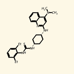 CCc1cccc(CC)c1NC(=S)N[C@H]1CC[C@@H](Nc2cc(N(C)C)c3ccccc3n2)CC1